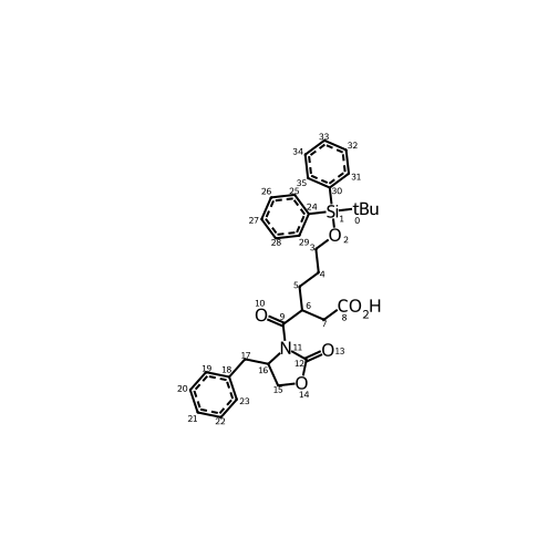 CC(C)(C)[Si](OCCCC(CC(=O)O)C(=O)N1C(=O)OCC1Cc1ccccc1)(c1ccccc1)c1ccccc1